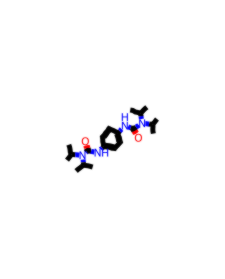 CC(C)N(C(=O)Nc1ccc(NC(=O)N(C(C)C)C(C)C)cc1)C(C)C